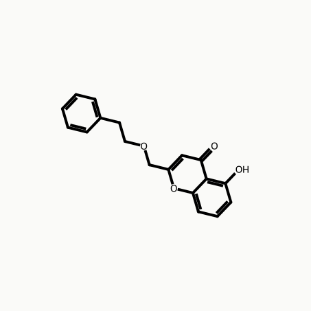 O=c1cc(COCCc2ccccc2)oc2cccc(O)c12